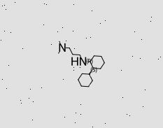 CN(C)CCCN[C@@H]1CCCC[C@H]1C1CCCCC1